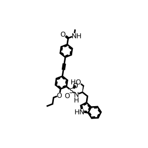 CCCOc1ccc(C#Cc2ccc(C(=O)NC)cc2)cc1S(=O)(=O)N[C@@H](CO)Cc1c[nH]c2ccccc12